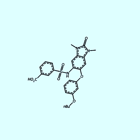 CCCCOc1cccc(Oc2cc3c(cc2NS(=O)(=O)c2cccc(C(=O)O)c2)n(C)c(=O)n3C)c1